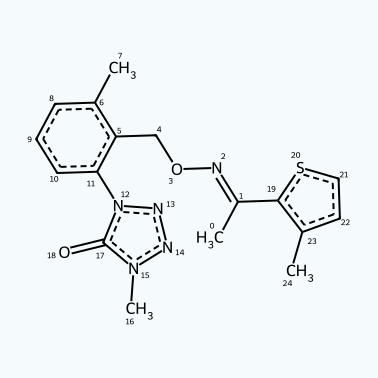 CC(=NOCc1c(C)cccc1-n1nnn(C)c1=O)c1sccc1C